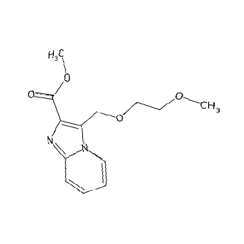 COCCOCc1c(C(=O)OC)nc2ccccn12